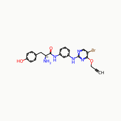 C#CCOc1nc(Nc2cccc(NC(=O)[C@@H](N)Cc3ccc(O)cc3)c2)ncc1Br